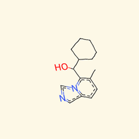 Cc1ccc2cncn2c1C(O)C1CCCCC1